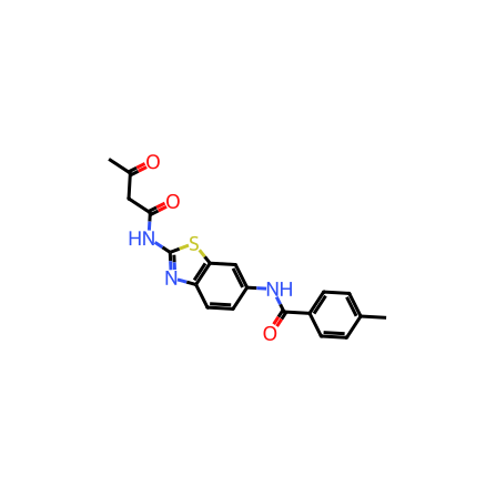 CC(=O)CC(=O)Nc1nc2ccc(NC(=O)c3ccc(C)cc3)cc2s1